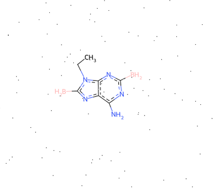 Bc1nc(N)c2nc(B)n(CC)c2n1